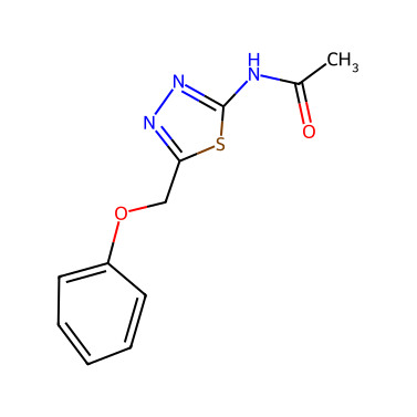 CC(=O)Nc1nnc(COc2ccccc2)s1